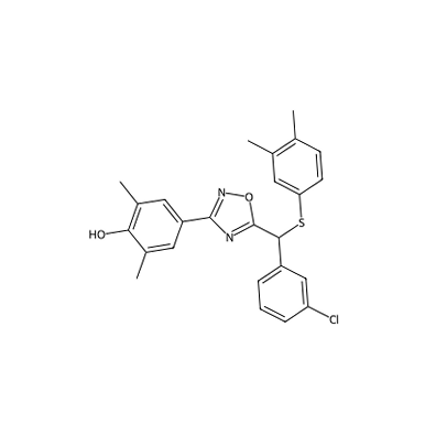 Cc1ccc(SC(c2cccc(Cl)c2)c2nc(-c3cc(C)c(O)c(C)c3)no2)cc1C